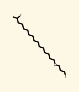 CC(F)CCCCCCCCCCCCCCOCCCI